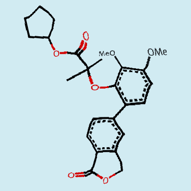 COc1ccc(-c2ccc3c(c2)COC3=O)c(OC(C)(C)C(=O)OC2CCCC2)c1OC